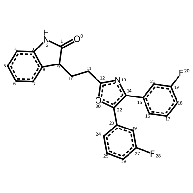 O=C1Nc2ccccc2C1CCc1nc(-c2cccc(F)c2)c(-c2cccc(F)c2)o1